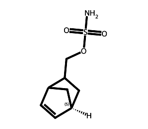 NS(=O)(=O)OCC1C[C@H]2C=CC1C2